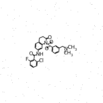 CN(C)Cc1cccc(S(=O)(=O)N2C(=O)CCc3ccc(NC(=O)c4c(F)cccc4Cl)cc32)c1